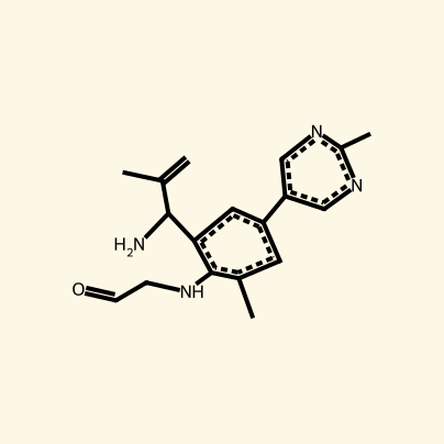 C=C(C)C(N)c1cc(-c2cnc(C)nc2)cc(C)c1NCC=O